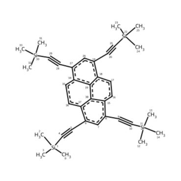 C[Si](C)(C)C#Cc1cc(C#C[Si](C)(C)C)c2ccc3c(C#C[Si](C)(C)C)cc(C#C[Si](C)(C)C)c4ccc1c2c43